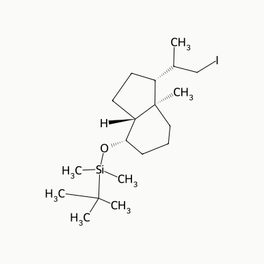 CC(CI)[C@H]1CC[C@H]2[C@@H](O[Si](C)(C)C(C)(C)C)CCC[C@]12C